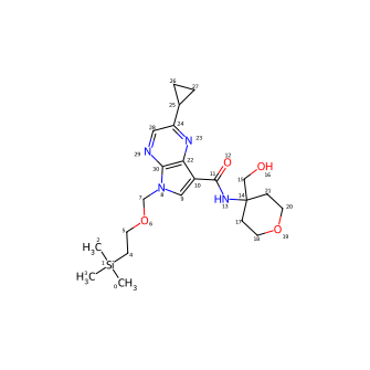 C[Si](C)(C)CCOCn1cc(C(=O)NC2(CO)CCOCC2)c2nc(C3CC3)cnc21